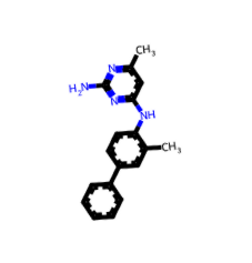 Cc1cc(Nc2ccc(-c3ccccc3)cc2C)nc(N)n1